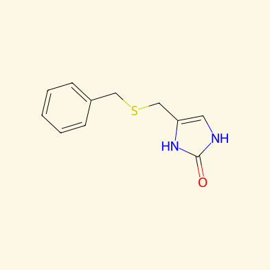 O=c1[nH]cc(CSCc2ccccc2)[nH]1